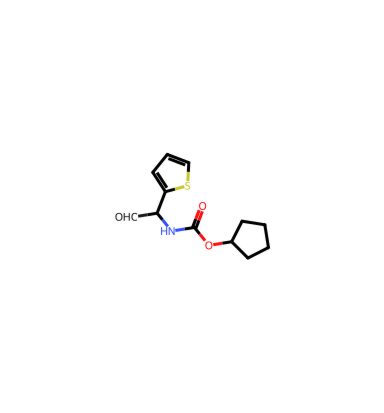 O=CC(NC(=O)OC1CCCC1)c1cccs1